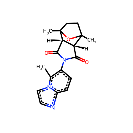 Cc1c(N2C(=O)[C@@H]3[C@H](C2=O)C2(C)CCC3(C)O2)ccc2nccn12